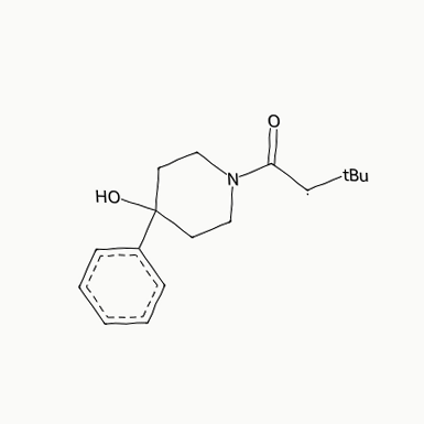 CC(C)(C)[CH]C(=O)N1CCC(O)(c2ccccc2)CC1